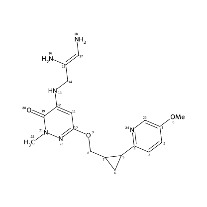 COc1ccc(C2CC2COc2cc(NC/C(N)=C/N)c(=O)n(C)n2)nc1